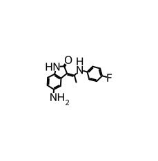 C/C(Nc1ccc(F)cc1)=C1/C(=O)Nc2ccc(N)cc21